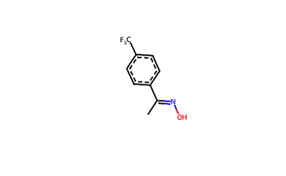 CC(=NO)c1ccc(C(F)(F)F)cc1